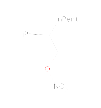 CCCCCC(CO[N+](=O)[O-])C(C)C